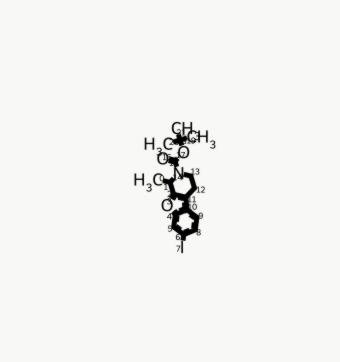 CC1c2oc3cc(I)ccc3c2CCN1C(=O)OC(C)(C)C